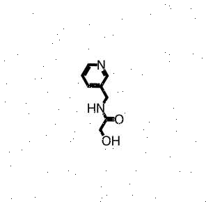 O=C(CO)NCc1cccnc1